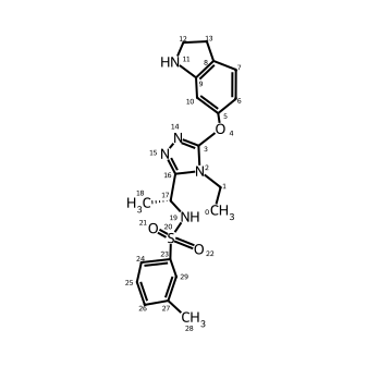 CCn1c(Oc2ccc3c(c2)NCC3)nnc1[C@@H](C)NS(=O)(=O)c1cccc(C)c1